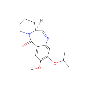 COc1cc2c(cc1OC(C)C)N=C[C@@H]1CCCCN1C2=O